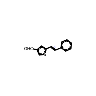 O=Cc1csc(/C=C/c2ccccc2)c1